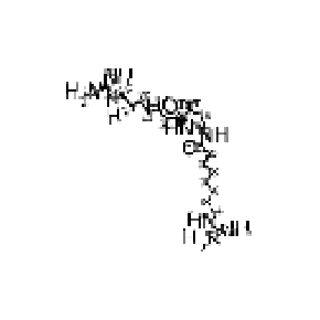 N=C(N)NCCCCCCCC(=O)N[C@H](CC(=O)O)NC(=O)CCCCCCNC(=N)N